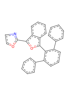 c1ccc(-c2cccc(-c3ccccc3)c2-c2oc(-c3ncco3)c3ccccc23)cc1